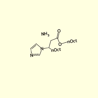 CCCCCCCCOC(=O)CC(CCCCCCCC)n1ccnc1.N